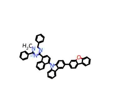 C=N/C(=N\C(=N/Cc1ccccc1)c1ccc(-n2c3ccccc3c3cc(-c4ccc5c(c4)oc4ccccc45)ccc32)c2ccccc12)c1ccccc1